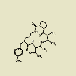 COc1ccc(C[C@@H](CCCNC(=O)[C@@H]2CCCN2C(=O)[C@@H](N)[C@@H](C)O)C(=O)N[C@H](C(N)=O)[C@@H](C)O)cc1